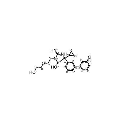 CC(NC(=N)N(CO)CCOCCO)(c1cccc(-c2cccc(Cl)c2)c1)C1CC1